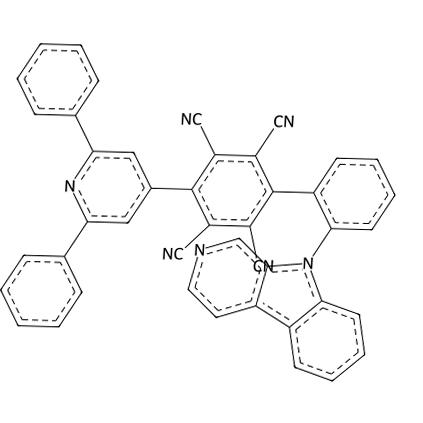 N#Cc1c(C#N)c(-c2ccccc2-n2c3ccccc3c3ccncc32)c(C#N)c(C#N)c1-c1cc(-c2ccccc2)nc(-c2ccccc2)c1